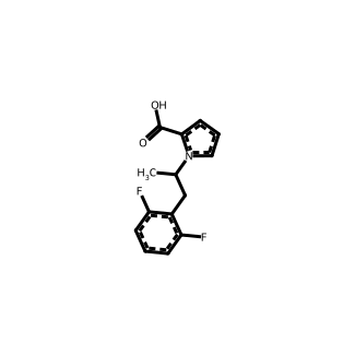 CC(Cc1c(F)cccc1F)n1cccc1C(=O)O